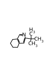 CC(C)(C)c1cc2c(cn1)CCCC2